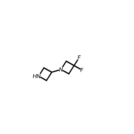 FC1(F)CN(C2CNC2)C1